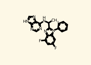 CC(Nc1ncnc2[nH]cnc12)c1nc2c(F)cc(F)cc2n1-c1ccccc1